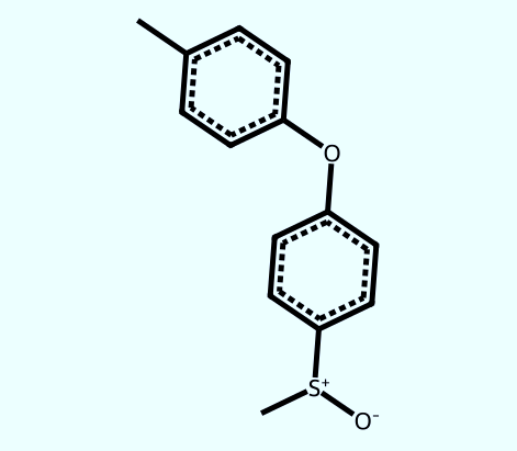 Cc1ccc(Oc2ccc([S+](C)[O-])cc2)cc1